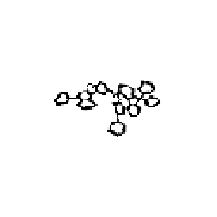 c1ccc(-c2ccc(N(c3ccc4oc5cc(-c6ccccc6)c6ccccc6c5c4c3)c3cccc4c3-c3ccccc3C4(c3ccccc3)c3ccccc3)cc2)cc1